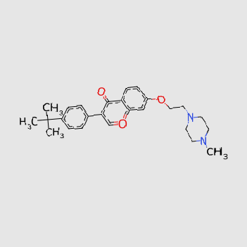 CN1CCN(CCOc2ccc3c(=O)c(-c4ccc(C(C)(C)C)cc4)coc3c2)CC1